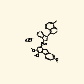 COc1ccc2c(c1)Cc1[c]([Zr+2][CH]3C=C(c4cccc5c(C)cccc45)c4ccccc43)cc(OC)c(OC)c1-2.[Cl-].[Cl-]